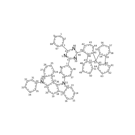 c1ccc(-c2nc(-c3ccc(-n4c5ccccc5c5ccc6c(c7ccccc7n6-c6ccccc6)c54)cc3)nc(-c3cccc4c3-c3ccccc3C43c4ccccc4-c4ccccc43)n2)cc1